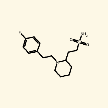 NS(=O)(=O)CCC1CCCCN1CCc1ccc(F)cc1